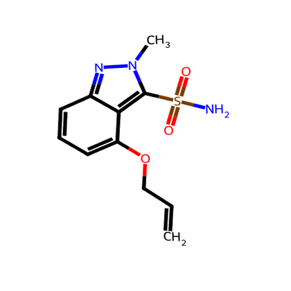 C=CCOc1cccc2nn(C)c(S(N)(=O)=O)c12